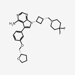 Nc1ncnc2c1c(-c1cccc(OC[C@@H]3CCCO3)c1)cn2[C@H]1C[C@@H](CN2CCC(F)(F)CC2)C1